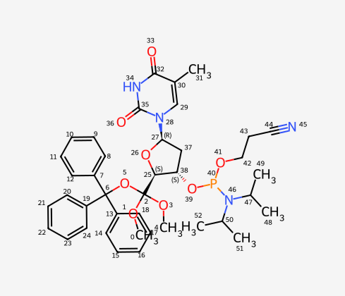 COC(OC)(OC(c1ccccc1)(c1ccccc1)c1ccccc1)[C@H]1O[C@@H](n2cc(C)c(=O)[nH]c2=O)C[C@@H]1OP(OCCC#N)N(C(C)C)C(C)C